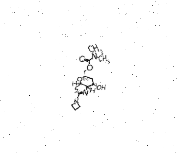 CN(C)C(=O)OC[C@@H]1C[C@H](O)[C@H]2N=C(N3CCC3)S[C@H]2O1